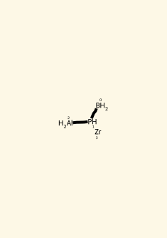 B[PH][AlH2].[Zr]